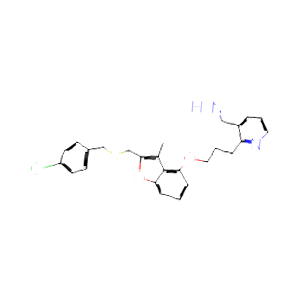 Cc1c(CSCc2ccc(Cl)cc2)oc2cccc(OCCCc3ncccc3CN)c12